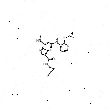 CNc1cc(Nc2cccnc2OC2CC2)nc2c(C(=O)NC3CC3I)cnn12